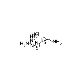 Cl.Cl.NCCc1ccc(-c2csc(N=C(N)N)n2)s1